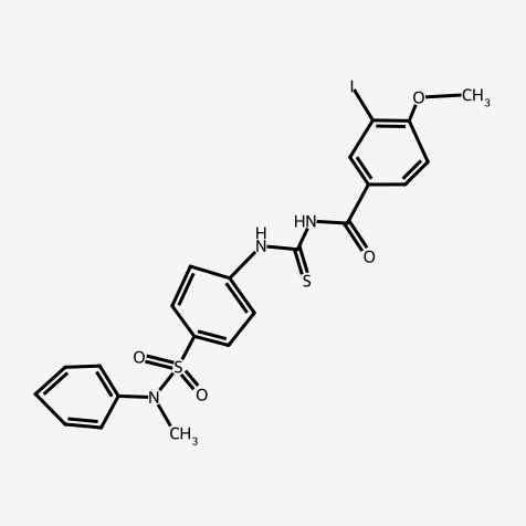 COc1ccc(C(=O)NC(=S)Nc2ccc(S(=O)(=O)N(C)c3ccccc3)cc2)cc1I